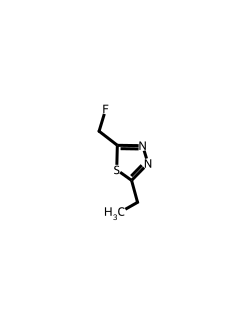 CCc1nnc(CF)s1